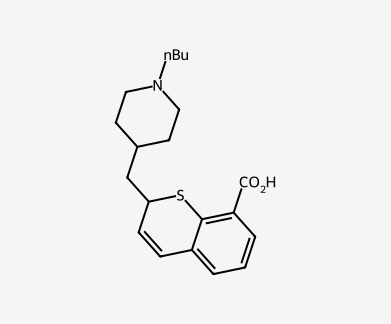 CCCCN1CCC(CC2C=Cc3cccc(C(=O)O)c3S2)CC1